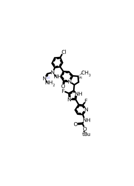 C[C@@H]1CC(c2[nH]c(-c3ccc(NC(=O)OC(C)(C)C)nc3F)nc2F)n2c1cc(-c1cc(Cl)ccc1N(N)/C=N\N)cc2=O